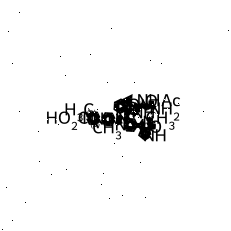 CC(=O)N[C@@H](CC(N)=O)C(=O)NC[C@](OC1CC1)(c1ccccc1)c1nc(N2CCC(N3C[C@@H](C)N(C(=O)O)C[C@@H]3C)CC2)nc2ccc(-c3cn(C)c(=O)c4[nH]ccc34)cc12